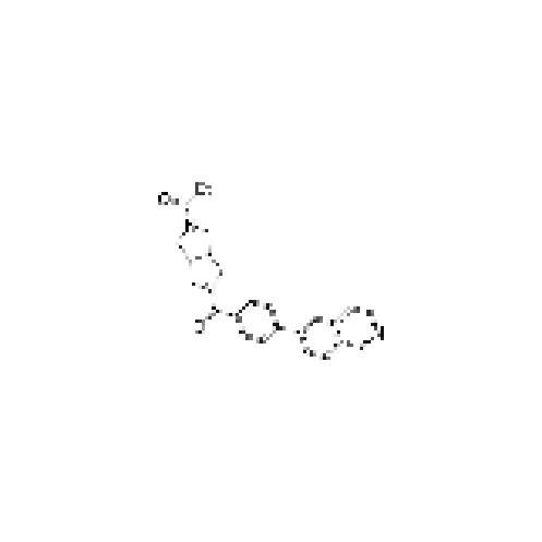 CCC(=O)N1CC2CN(C(=O)c3ccc(-c4ccc5cnccc5c4)cc3)CC2C1